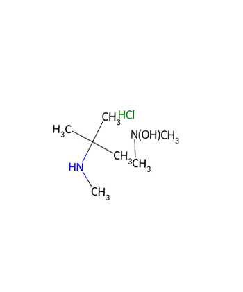 CN(C)O.CNC(C)(C)C.Cl